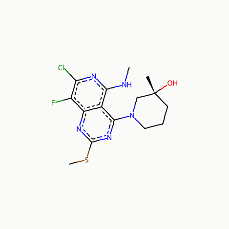 CNc1nc(Cl)c(F)c2nc(SC)nc(N3CCC[C@@](C)(O)C3)c12